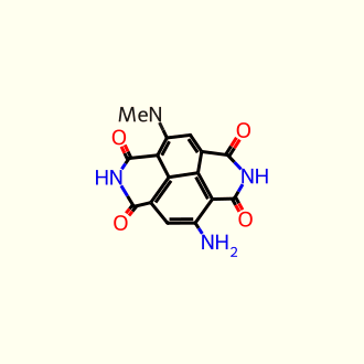 CNc1cc2c3c(c(N)cc4c3c1C(=O)NC4=O)C(=O)NC2=O